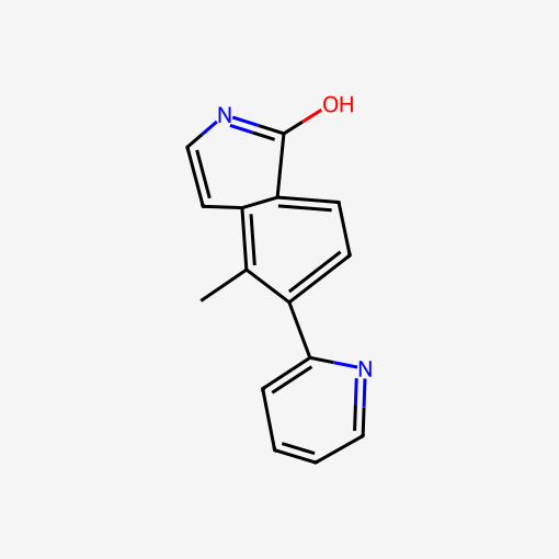 Cc1c(-c2ccccn2)ccc2c(O)nccc12